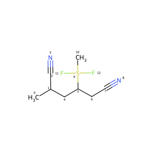 CC(C#N)CC(CC#N)S(C)(F)F